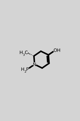 C[C@@H]1CC(O)=CCN1P